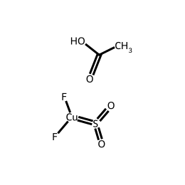 CC(=O)O.O=[S](=O)=[Cu]([F])[F]